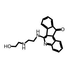 O=C1c2ccccc2-c2c(NCCNCCO)nc3ccccc3c21